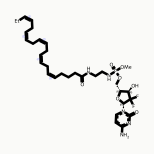 CC/C=C\C/C=C\C/C=C\C/C=C\C/C=C\CCCC(=O)NCCNP(=O)(OC)OC[C@H]1O[C@@H](n2ccc(N)nc2=O)C(F)(F)[C@@H]1O